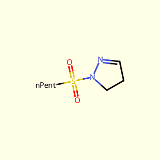 CCCCCS(=O)(=O)N1CCC=N1